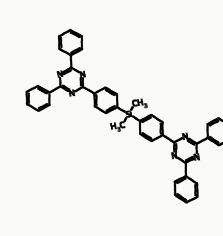 C[Si](C)(c1ccc(-c2nc(-c3ccccc3)nc(-c3ccccc3)n2)cc1)c1ccc(-c2nc(-c3ccccc3)nc(-c3ccccc3)n2)cc1